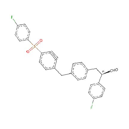 O=C[C@H](Cc1ccc(Cc2c#cc(S(=O)(=O)c3ccc(F)cc3)cc2)cc1)c1ccc(F)cc1